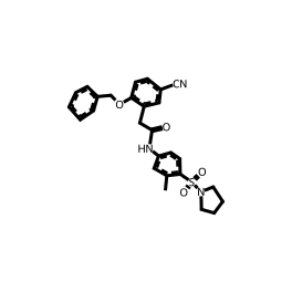 Cc1cc(NC(=O)Cc2cc(C#N)ccc2OCc2ccccc2)ccc1S(=O)(=O)N1CCCC1